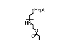 C=CC(=O)OCCNC(C)(C)CCCCCCCCC